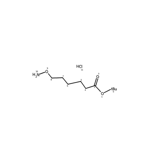 CC(C)(C)OC(=O)CCCCCON.Cl